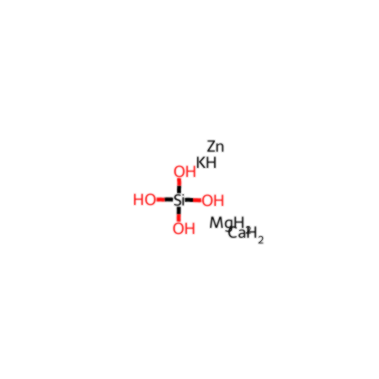 O[Si](O)(O)O.[CaH2].[KH].[MgH2].[Zn]